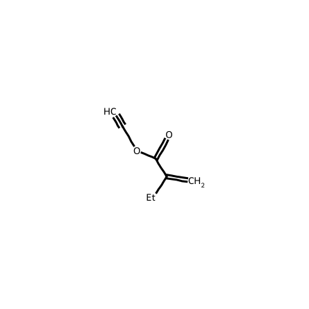 C#COC(=O)C(=C)CC